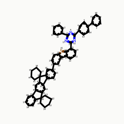 c1ccc(-c2ccc(-c3nc(-c4ccccc4)nc(-c4cccc5c4sc4ccc(-c6ccc7c(c6)C6(CCCCC6)c6cc8c(cc6-7)C6(CCCCC6)c6ccccc6-8)cc45)n3)cc2)cc1